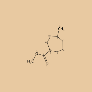 COC(=O)N1CCCC(C)CC1